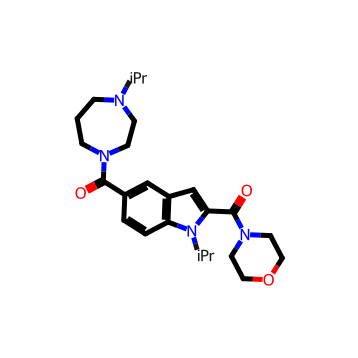 CC(C)N1CCCN(C(=O)c2ccc3c(c2)cc(C(=O)N2CCOCC2)n3C(C)C)CC1